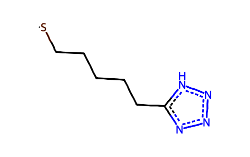 [S]CCCCCc1nnn[nH]1